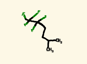 CC(C)CCC(F)(F)C(F)(F)F